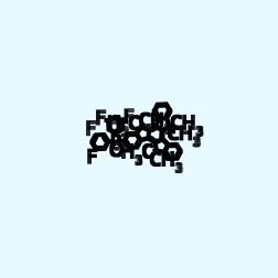 CC1(C)c2ccccc2-c2c1c1c(c3c2C(C)(C)c2cc(P(=O)(c4cc(F)cc(F)c4)c4cc(F)cc(F)c4)ccc2-3)C(C)(C)c2ccccc2-1